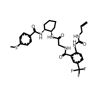 C=CCNC(=O)Nc1ccc(C(F)(F)F)cc1C(=O)NCC(=O)N[C@@H]1CCCC[C@@H]1NC(=O)c1ccc(SC)cc1